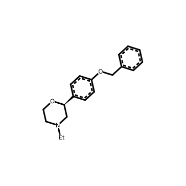 CCN1CCO[C@@H](c2ccc(OCc3ccccc3)cc2)C1